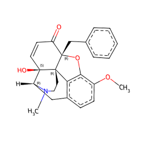 COc1ccc2c3c1O[C@@]1(Cc4ccccc4)C(=O)C=C[C@@]4(O)[C@@H](C2)N(C)CC[C@]314